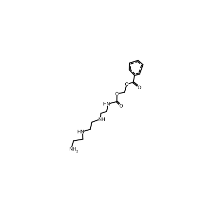 NCCNCCNCCNC(=O)OCOC(=O)c1ccccc1